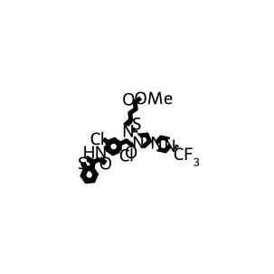 COC(=O)CCc1cnc([C@@H]2C[C@H](N3CCN(CC(F)(F)F)CC3)CN2C(=O)Cc2cc(Cl)c(NC(=O)c3csc4ccccc34)cc2Cl)s1